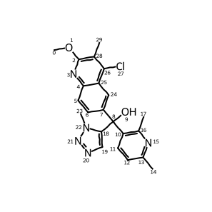 COc1nc2ccc(C(O)(c3ccc(C)nc3C)c3cnnn3C)cc2c(Cl)c1C